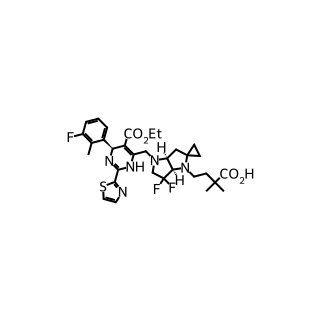 CCOC(=O)C1=C(CN2CC(F)(F)[C@H]3[C@@H]2CC2(CC2)N3CCC(C)(C)C(=O)O)NC(c2nccs2)=N[C@H]1c1cccc(F)c1C